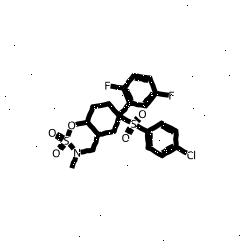 CN1CC2CC(c3cc(F)ccc3F)(S(=O)(=O)c3ccc(Cl)cc3)CCC2OS1(=O)=O